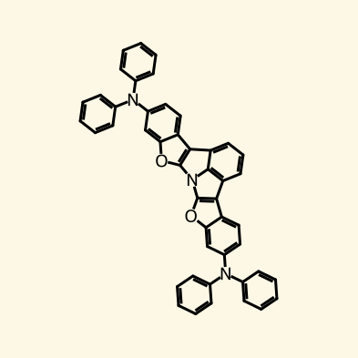 c1ccc(N(c2ccccc2)c2ccc3c(c2)oc2c3c3cccc4c5c6ccc(N(c7ccccc7)c7ccccc7)cc6oc5n2c34)cc1